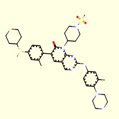 Cc1cc([S+]([O-])C2CCOCC2)ccc1-c1cc2cnc(Nc3ccc(N4CCNCC4)c(Cl)c3)nc2n(C2CCN(S(C)(=O)=O)CC2)c1=O